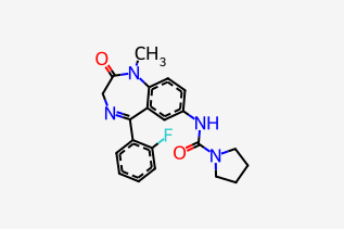 CN1C(=O)CN=C(c2ccccc2F)c2cc(NC(=O)N3CCCC3)ccc21